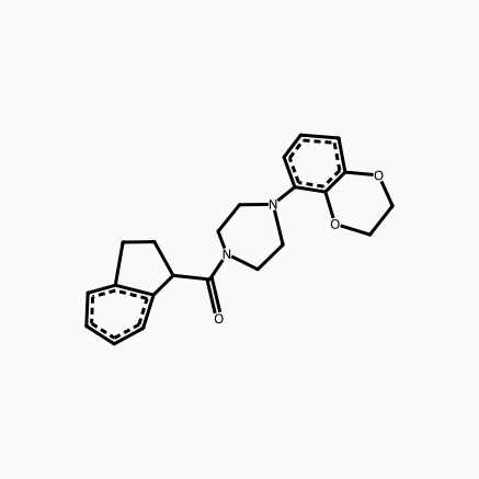 O=C(C1CCc2ccccc21)N1CCN(c2cccc3c2OCCO3)CC1